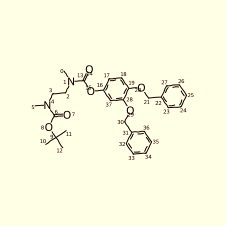 CN(CCN(C)C(=O)OC(C)(C)C)C(=O)Oc1ccc(OCc2ccccc2)c(OCc2ccccc2)c1